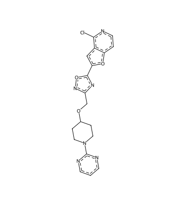 Clc1nccc2oc(-c3nc(COC4CCN(c5ncccn5)CC4)no3)cc12